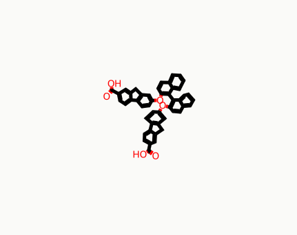 O=C(O)c1ccc2c(c1)Cc1cc(Oc3ccc4ccccc4c3-c3c(Oc4ccc5c(c4)Cc4cc(C(=O)O)ccc4-5)ccc4ccccc34)ccc1-2